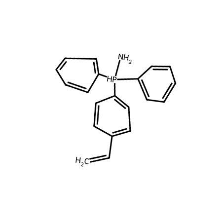 C=Cc1ccc([PH](N)(c2ccccc2)c2ccccc2)cc1